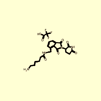 NCCCCCC(=O)NCc1cccc2c1C(=O)N(C1CCC(=O)NC1=O)C2=O.O=C(O)C(F)(F)F